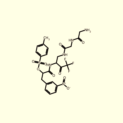 Cc1ccc(S(=O)(=O)OC(Cc2cccc([N+](=O)[O-])c2)C(=O)NC(CNC(=O)CNC(=O)CN)C(=O)C(F)(F)F)cc1